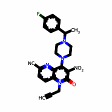 C#CCn1c(=O)c([N+](=O)[O-])c(N2CCN(C(C)c3ccc(F)cc3)CC2)c2nc(C#N)ccc21